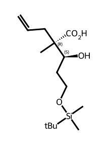 C=CC[C@@](C)(C(=O)O)[C@@H](O)CCO[Si](C)(C)C(C)(C)C